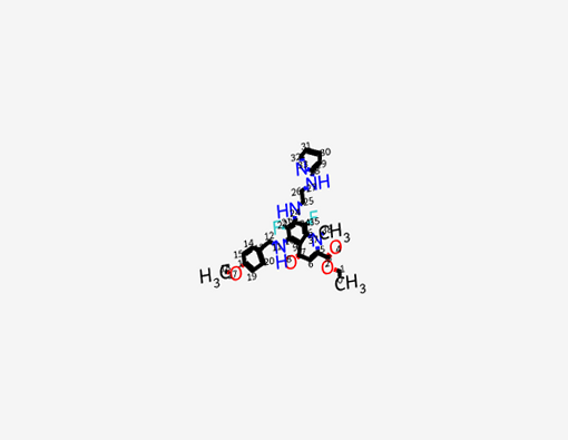 CCOC(=O)c1cc(=O)c2c(NCc3ccc(OC)cc3)c(F)c(NCCNc3ccccn3)c(F)c2n1C